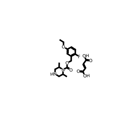 CCOc1ccc(F)c(COC(=O)N2C(C)CNCC2C)c1.O=C(O)C=CC(=O)O